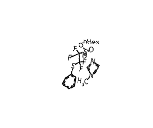 CCCCCCOS(=O)(=O)C(F)(F)C(F)(F)Sc1ccccc1.Cn1ccnc1